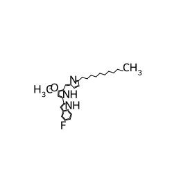 CCCCCCCCCCCC1=NC(=Cc2[nH]c(-c3cc4cc(F)ccc4[nH]3)cc2OC)C=C1